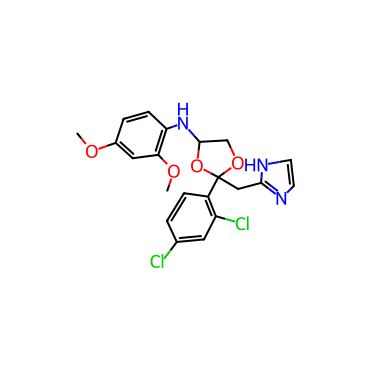 COc1ccc(NC2COC(Cc3ncc[nH]3)(c3ccc(Cl)cc3Cl)O2)c(OC)c1